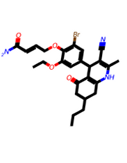 CCCC1CC(=O)C2=C(C1)NC(C)=C(C#N)C2c1cc(Br)c(OCC=CC(N)=O)c(OCC)c1